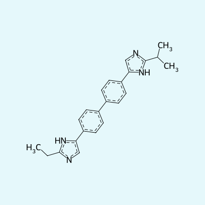 CCc1ncc(-c2ccc(-c3ccc(-c4cnc(C(C)C)[nH]4)cc3)cc2)[nH]1